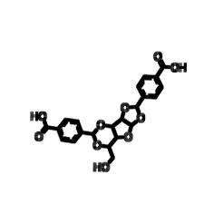 O=C(O)c1ccc(C2OC3OC4C(CO)OC(c5ccc(C(=O)O)cc5)OC4C3O2)cc1